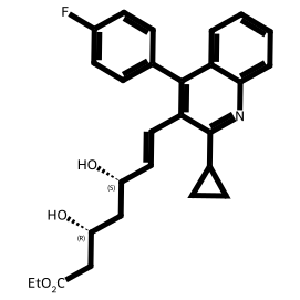 CCOC(=O)C[C@H](O)C[C@H](O)C=Cc1c(C2CC2)nc2ccccc2c1-c1ccc(F)cc1